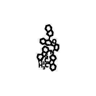 CC1(C)c2ccccc2-c2ccc(N(c3cccc4c3sc3ccccc34)c3cccc4oc5c(-c6ccc7ccccc7c6)c6ccccc6cc5c34)cc21